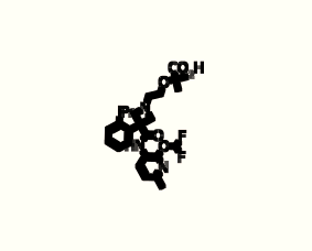 Cc1ccc(NC(=O)C2(c3ccccc3C(C)C)CN(CCOC(C)(C)C(=O)O)C2)c(OC(F)F)n1